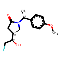 COc1ccc([C@@H](C)N2C[C@H]([C@@H](O)CF)CC2=O)cc1